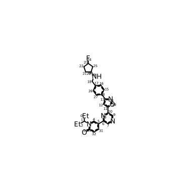 CCC(CC)n1cc(-c2cncc(-c3cc(-c4ccc(CN[C@@H]5CCC(F)C5)cc4)no3)n2)ccc1=O